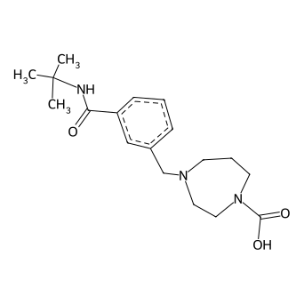 CC(C)(C)NC(=O)c1cccc(CN2CCCN(C(=O)O)CC2)c1